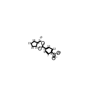 C[C@H](OC(=O)c1ccc([N+](=O)[O-])cc1)C1CCCC1